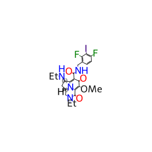 CCN[C@H]1C[C@@H]2CN(CC)C(=O)c3c(OC)c(=O)c(C(=O)NCc4ccc(F)c(I)c4F)c1n32